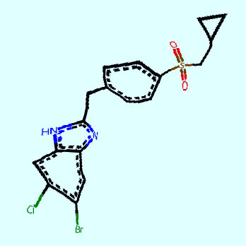 O=S(=O)(CC1CC1)c1ccc(Cc2nc3cc(Br)c(Cl)cc3[nH]2)cc1